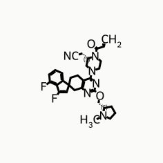 C=CC(=O)N1CCN(c2nc(OC[C@@H]3CCCN3C)nc3c2CCC2(C=C(F)c4c(F)cccc42)C3)C[C@@H]1CC#N